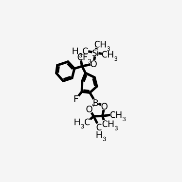 CC1(C)OB(c2ccc(C(O[Si](C)(C)C)(c3ccccc3)C(F)(F)F)cc2F)OC1(C)C